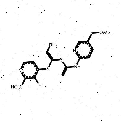 C=C(Nc1ccc(COC)cn1)S/C(=C\N)Sc1ccnc(C(=O)O)c1F